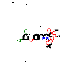 CCOC(=O)C(CCCc1ccc(Oc2cc(Cl)cc(Cl)c2)cc1)(NC(=O)OC(C)(C)C)C(=O)OCC